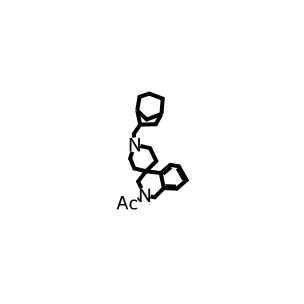 CC(=O)N1Cc2ccccc2C2(CCN(CC3CC4CCCC3C4)CC2)C1